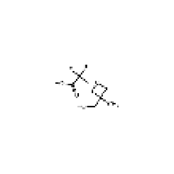 CC1(CO)COC1.O=C(O)C(F)(F)F